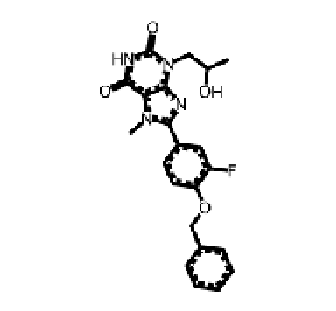 CC(O)Cn1c(=O)[nH]c(=O)c2c1nc(-c1ccc(OCc3ccccc3)c(F)c1)n2C